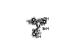 Br.O=C(NCCN(CCNC(=O)c1cccc(O)c1O)CCNC(=O)c1cccc(O)c1O)c1cccc(O)c1O